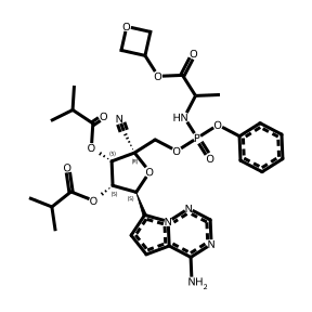 CC(C)C(=O)O[C@H]1[C@H](c2ccc3c(N)ncnn23)O[C@](C#N)(COP(=O)(NC(C)C(=O)OC2COC2)Oc2ccccc2)[C@H]1OC(=O)C(C)C